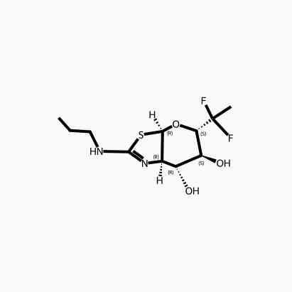 CCCNC1=N[C@@H]2[C@@H](O)[C@H](O)[C@@H](C(C)(F)F)O[C@@H]2S1